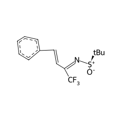 CC(C)(C)[S@@+]([O-])N=C(/C=C/c1ccccc1)C(F)(F)F